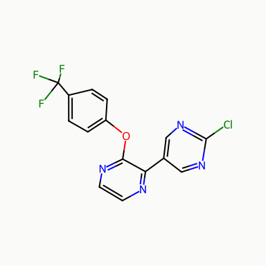 FC(F)(F)c1ccc(Oc2nccnc2-c2cnc(Cl)nc2)cc1